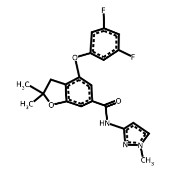 Cn1ccc(NC(=O)c2cc(Oc3cc(F)cc(F)c3)c3c(c2)OC(C)(C)C3)n1